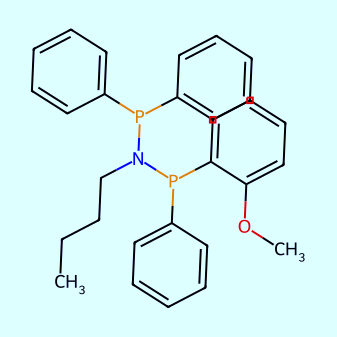 CCCCN(P(c1ccccc1)c1ccccc1)P(c1ccccc1)c1ccccc1OC